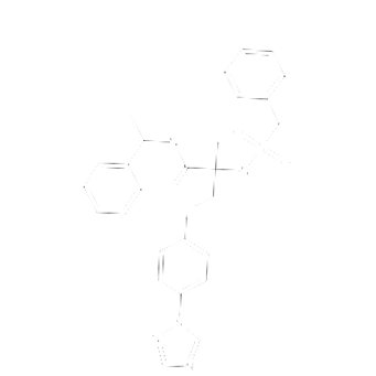 CC(NC(=O)C(C)(COc1ccc(-n2cncn2)cc1)NS(=O)(=O)Cc1ccccc1)c1ccccc1